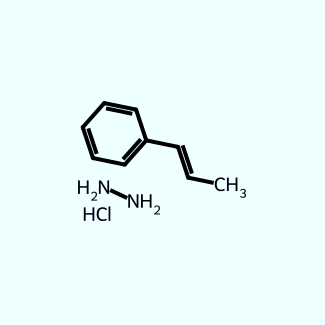 CC=Cc1ccccc1.Cl.NN